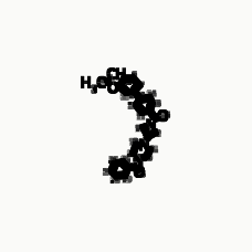 CC(C)Oc1cccc(-c2ccc(C(=O)N3CC(N4CCN(C(=O)c5ccccc5)CC4)C3)cc2)c1